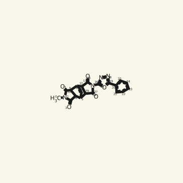 CN1C(=O)C2C3C=CC(C2C1=O)C1C(=O)N(c2nnc(-c4ccccc4)o2)C(=O)C31